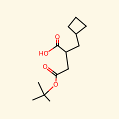 CC(C)(C)OC(=O)CC(CC1CCC1)C(=O)O